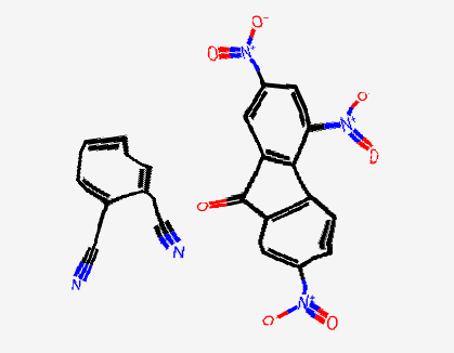 N#Cc1ccccc1C#N.O=C1c2cc([N+](=O)[O-])ccc2-c2c1cc([N+](=O)[O-])cc2[N+](=O)[O-]